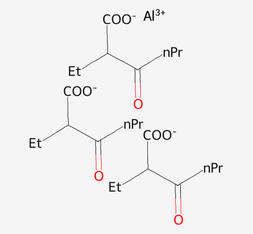 CCCC(=O)C(CC)C(=O)[O-].CCCC(=O)C(CC)C(=O)[O-].CCCC(=O)C(CC)C(=O)[O-].[Al+3]